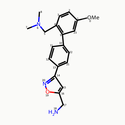 COc1ccc(CN(C)C)c(-c2ccc(-c3cc(CN)on3)cc2)c1